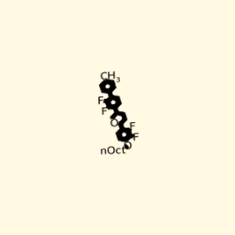 CCCCCCCCOc1ccc(C2CCC(c3ccc(-c4ccc(C)cc4)c(F)c3F)CO2)c(F)c1F